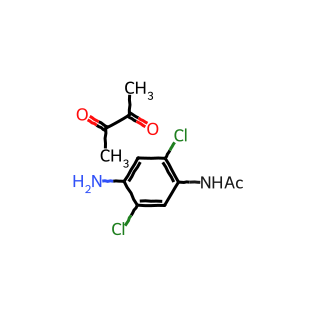 CC(=O)C(C)=O.CC(=O)Nc1cc(Cl)c(N)cc1Cl